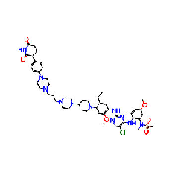 CCc1cc(Nc2ncc(Cl)c(Nc3ccc(OC)cc3N(C)S(C)(=O)=O)n2)c(OC)cc1N1CCC(N2CCN(CCCN3CCN(c4ccc(C5CCC(=O)NC5=O)cc4)CC3)CC2)CC1